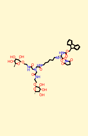 C[C@@H]1O[C@@H](OCCNC(=O)CN(CC(=O)NCCCCCCNC[C@H](NC(=O)OCC2c3ccccc3-c3ccccc32)C(=O)ON2C(=O)CCC2=O)CC(=O)NCCO[C@@H]2O[C@@H](C)[C@@H](O)[C@@H](O)[C@@H]2O)[C@@H](O)[C@H](O)[C@@H]1O